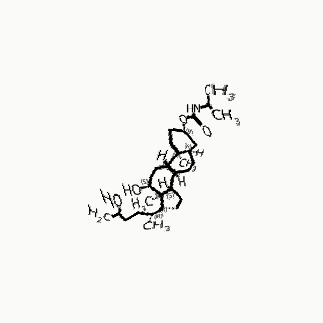 C=C(O)CC[C@@H](C)[C@H]1CC[C@H]2[C@@H]3CC[C@@H]4C[C@H](OC(=O)NC(C)C)CC[C@]4(C)[C@H]3C[C@H](O)[C@]12C